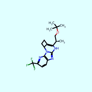 C[C@H](COC(C)(C)C)C1=C2CCC2n2c(nc3ccc(C(F)(F)F)nc32)N1